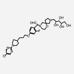 O=CC(c1ccc(OCCCC2CCN(c3ncc(Cl)cn3)CC2)cc1F)N1CCOC2(CCN(C[C@H](O)[C@H](O)[C@H](O)CO)C2)C1